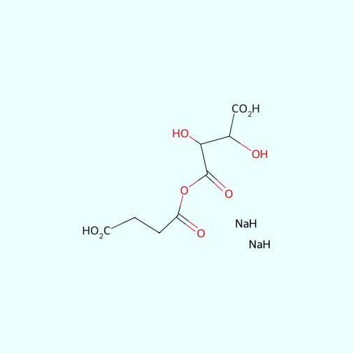 O=C(O)CCC(=O)OC(=O)C(O)C(O)C(=O)O.[NaH].[NaH]